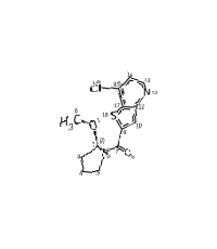 CO[C@@H]1CCCN1C(=O)c1cc2nccc(Cl)c2s1